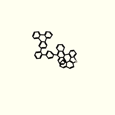 c1ccc(-c2ccc3c4ccccc4c4ccccc4c3c2)c(-c2ccc(-c3c4ccccc4c(-c4cccc5sc6ccc7ccccc7c6c45)c4ccccc34)cc2)c1